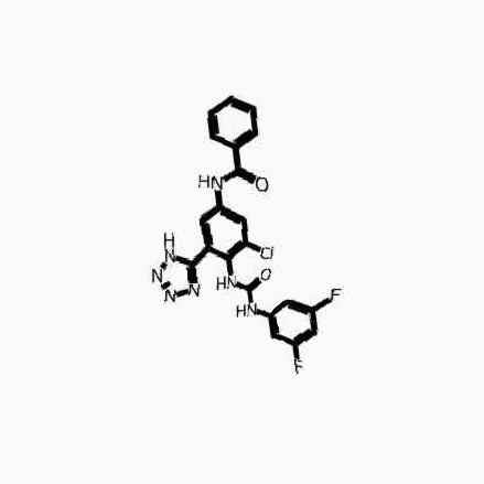 O=C(Nc1cc(F)cc(F)c1)Nc1c(Cl)cc(NC(=O)c2ccccc2)cc1-c1nnn[nH]1